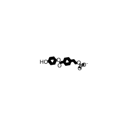 O=C(Oc1ccc(O)cc1)c1ccc(CCO[N+](=O)[O-])cc1